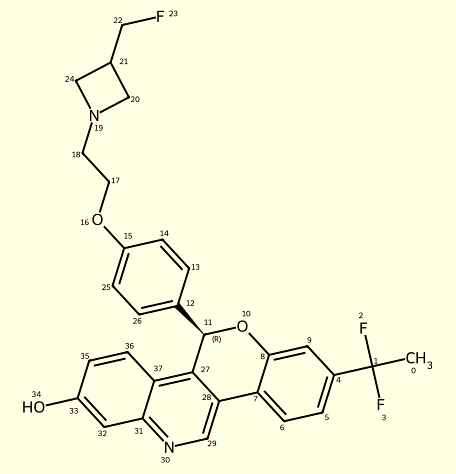 CC(F)(F)c1ccc2c(c1)O[C@H](c1ccc(OCCN3CC(CF)C3)cc1)c1c-2cnc2cc(O)ccc12